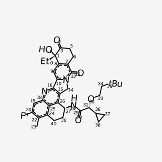 CC[C@@]1(O)C(=O)CCc2c1cc1n(c2=O)Cc2c-1nc1cc(F)c(C)c3c1c2[C@@H](NC(=O)[C@H](OCCC(C)(C)C)C1CC1)CC3